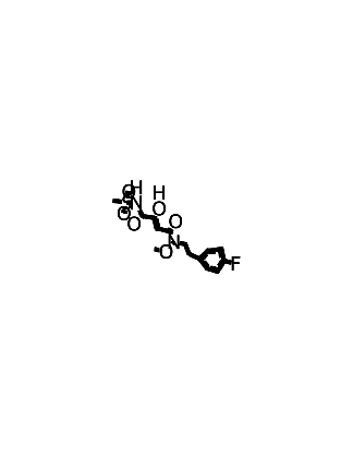 CON(CCc1ccc(F)cc1)C(=O)C=C(O)C(=O)NS(C)(=O)=O